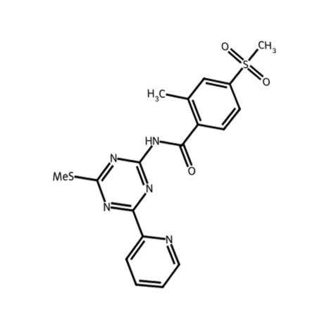 CSc1nc(NC(=O)c2ccc(S(C)(=O)=O)cc2C)nc(-c2ccccn2)n1